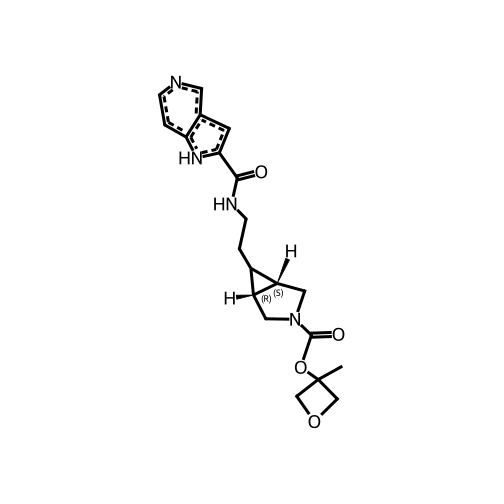 CC1(OC(=O)N2C[C@@H]3C(CCNC(=O)c4cc5cnccc5[nH]4)[C@@H]3C2)COC1